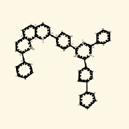 c1ccc(-c2ccc(-c3nc(-c4ccccc4)nc(-c4ccc(-c5ccc6ccc7ccc(-c8ccccc8)nc7c6n5)cc4)n3)cc2)cc1